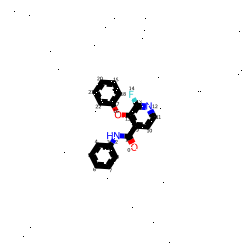 O=C(Nc1ccccc1)c1ccnc(F)c1Oc1ccccc1